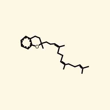 CC(C)=CCCC(C)=CCCC(C)=CCCC1(C)CCc2ccccc2O1